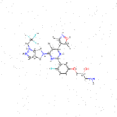 CNC[C@@H](O)COc1ccc(F)c(-c2nc(-c3c(C)noc3C)c(C)c(N3Cc4cnn(CC(F)(F)F)c4C3)n2)c1